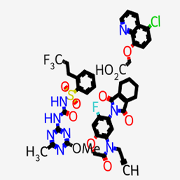 C#CCN1C(=O)COc2cc(F)c(N3C(=O)C4=C(CCCC4)C3=O)cc21.COc1nc(C)nc(NC(=O)NS(=O)(=O)c2ccccc2CCC(F)(F)F)n1.O=C(O)COc1ccc(Cl)c2cccnc12